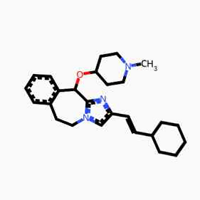 CN1CCC(OC2c3ccccc3CCn3cc(/C=C/C4CCCCC4)nc32)CC1